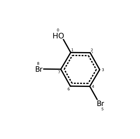 Oc1[c]cc(Br)cc1Br